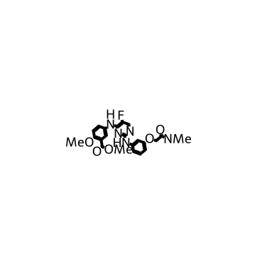 CNC(=O)COc1cccc(Nc2ncc(F)c(Nc3ccc(OC)c(C(=O)OC)c3)n2)c1